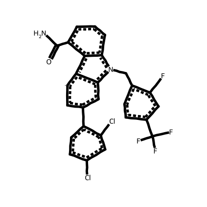 NC(=O)c1cccc2c1c1[c]cc(-c3ccc(Cl)cc3Cl)cc1n2Cc1ccc(C(F)(F)F)cc1F